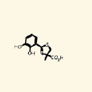 CC1(C(=O)O)CSC(c2cccc(O)c2O)=N1